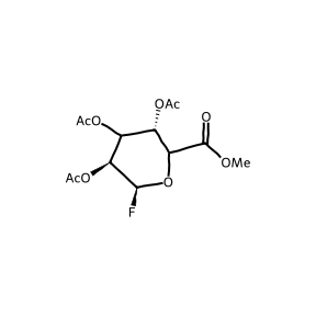 COC(=O)C1O[C@@H](F)[C@@H](OC(C)=O)C(OC(C)=O)[C@@H]1OC(C)=O